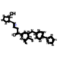 Cc1nc(C(=O)C/C=C/[C@H]2CCC[C@@H]2O)cc(Cc2ccc(-n3cccn3)cc2)c1C